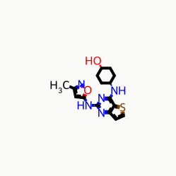 Cc1cc(Nc2nc(N[C@H]3CC[C@H](O)CC3)c3sccc3n2)on1